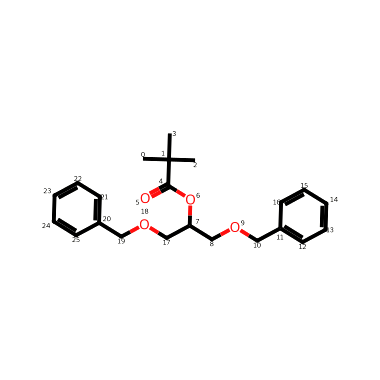 CC(C)(C)C(=O)OC(COCc1ccccc1)COCc1ccccc1